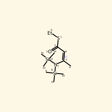 CCSC(=O)/C=C(/C)N([Si](C)(C)C)[Si](C)(C)C